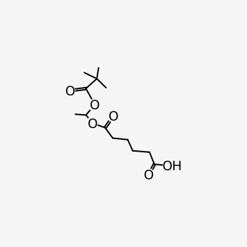 CC(OC(=O)CCCCC(=O)O)OC(=O)C(C)(C)C